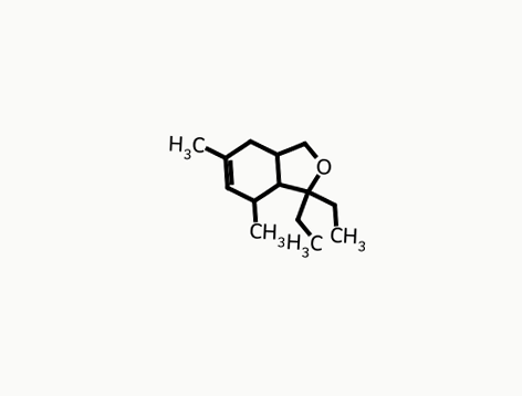 CCC1(CC)OCC2CC(C)=CC(C)C21